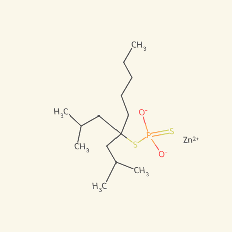 CCCCCC(CC(C)C)(CC(C)C)SP([O-])([O-])=S.[Zn+2]